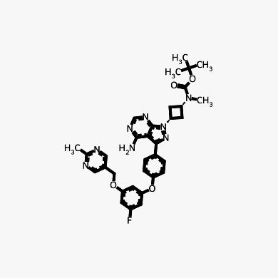 Cc1ncc(COc2cc(F)cc(Oc3ccc(-c4nn([C@H]5C[C@@H](N(C)C(=O)OC(C)(C)C)C5)c5ncnc(N)c45)cc3)c2)cn1